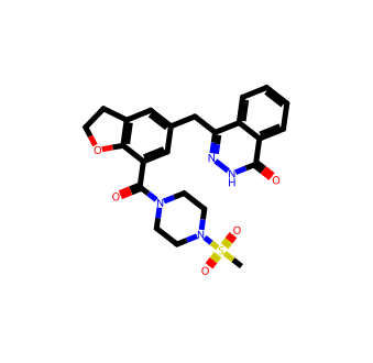 CS(=O)(=O)N1CCN(C(=O)c2cc(Cc3n[nH]c(=O)c4ccccc34)cc3c2OCC3)CC1